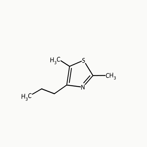 CCCc1nc(C)sc1C